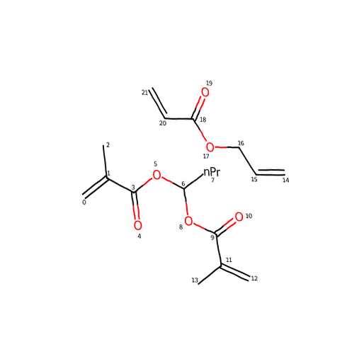 C=C(C)C(=O)OC(CCC)OC(=O)C(=C)C.C=CCOC(=O)C=C